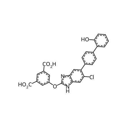 O=C(O)c1cc(Oc2nc3cc(-c4ccc(-c5ccccc5O)cc4)c(Cl)cc3[nH]2)cc(C(=O)O)c1